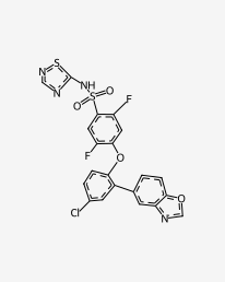 O=S(=O)(Nc1ncns1)c1cc(F)c(Oc2ccc(Cl)cc2-c2ccc3ocnc3c2)cc1F